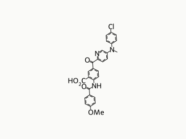 COc1ccc(C(=O)Nc2ccc(C(=O)c3ccc(N(C)c4ccc(Cl)cc4)cn3)cc2C(=O)O)cc1